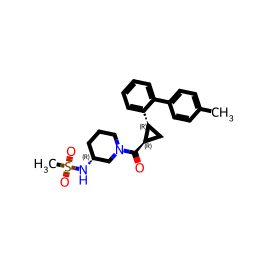 Cc1ccc(-c2ccccc2[C@@H]2C[C@H]2C(=O)N2CCC[C@@H](NS(C)(=O)=O)C2)cc1